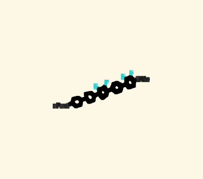 CCCCCC1CCC(C2CCC(c3ccc(-c4ccc(-c5ccc(OC)c(F)c5F)cc4)c(F)c3F)CC2)CC1